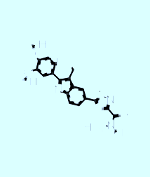 CCc1c(-c2ccc(OC)c(OC)c2)[nH]c2ccc(-c3nnc(C(=O)N(C)C)o3)cc12